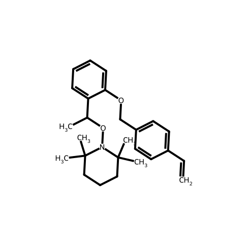 C=Cc1ccc(COc2ccccc2C(C)ON2C(C)(C)CCCC2(C)C)cc1